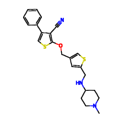 CN1CCC(NCc2cc(COc3scc(-c4ccccc4)c3C#N)cs2)CC1